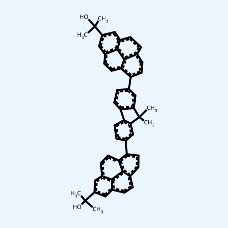 CC(C)(O)c1cc2ccc3ccc(-c4ccc5c(c4)C(C)(C)c4cc(-c6ccc7ccc8cc(C(C)(C)O)cc9ccc6c7c89)ccc4-5)c4ccc(c1)c2c34